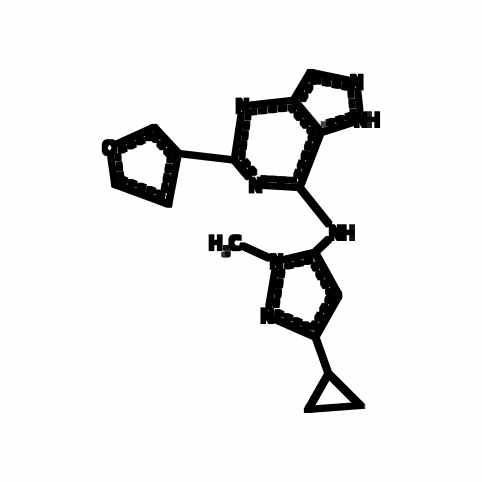 Cn1nc(C2CC2)cc1Nc1nc(-c2ccoc2)nc2cn[nH]c12